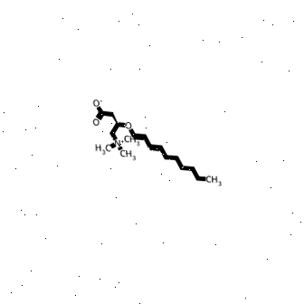 CCCCCCC=CC=CO[C@H](CC(=O)[O-])C[N+](C)(C)C